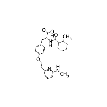 CNc1cccc(CCOc2ccc(C[C@H](NC(=O)C3CCCCC3C)C(=O)O)cc2)n1